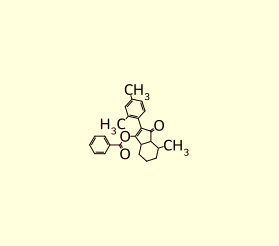 Cc1ccc(C2=C(OC(=O)c3ccccc3)C3CCCC(C)C3C2=O)c(C)c1